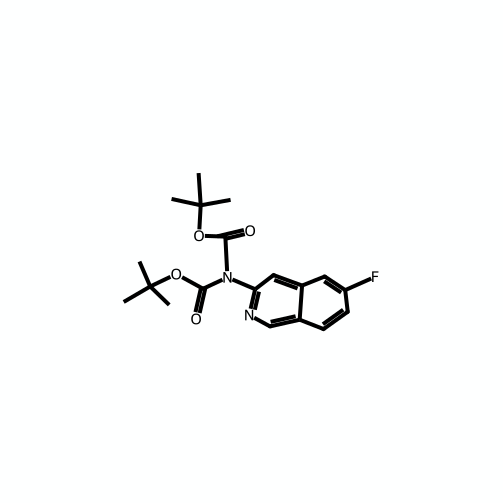 CC(C)(C)OC(=O)N(C(=O)OC(C)(C)C)c1cc2cc(F)ccc2cn1